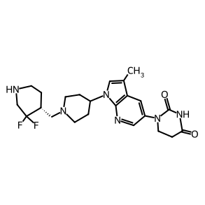 Cc1cn(C2CCN(C[C@H]3CCNCC3(F)F)CC2)c2ncc(N3CCC(=O)NC3=O)cc12